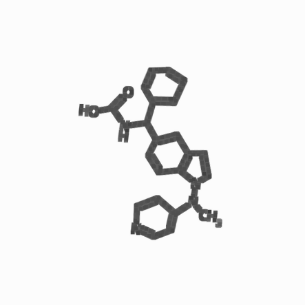 CN(c1ccncc1)n1ccc2cc(C(NC(=O)O)c3ccccc3)ccc21